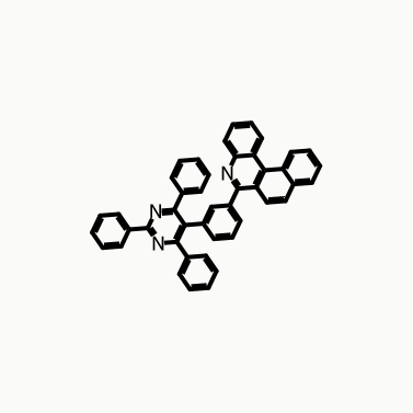 c1ccc(-c2nc(-c3ccccc3)c(-c3cccc(-c4nc5ccccc5c5c4ccc4ccccc45)c3)c(-c3ccccc3)n2)cc1